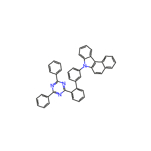 c1ccc(-c2nc(-c3ccccc3)nc(-c3ccccc3-c3cccc(-n4c5ccccc5c5c6ccccc6ccc54)c3)n2)cc1